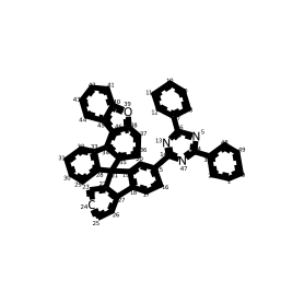 c1ccc(-c2nc(-c3ccccc3)nc(-c3ccc4c(c3)C3(c5ccccc5-4)c4ccccc4-c4c3ccc3oc5ccccc5c43)n2)cc1